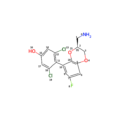 NC[C@H]1COc2cc(F)cc(-c3c(Cl)cc(O)cc3Cl)c2O1